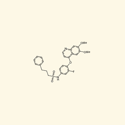 COc1cc2nccc(Oc3ccc(NS(=O)(=O)CCCc4ccccc4)cc3F)c2cc1OC